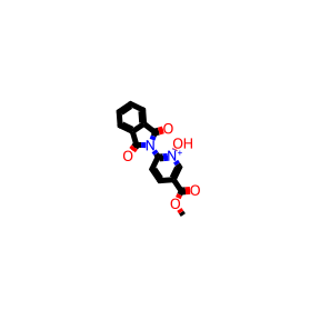 COC(=O)c1ccc(N2C(=O)c3ccccc3C2=O)[n+](O)c1